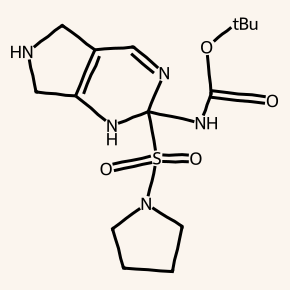 CC(C)(C)OC(=O)NC1(S(=O)(=O)N2CCCC2)N=CC2=C(CNC2)N1